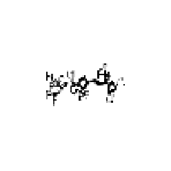 C[C@H](C[S+]([O-])CC(F)(F)F)NC(=O)c1ccc(/C=C/C(c2cc(Cl)cc(Cl)c2)C(F)(F)F)cc1C(F)(F)F